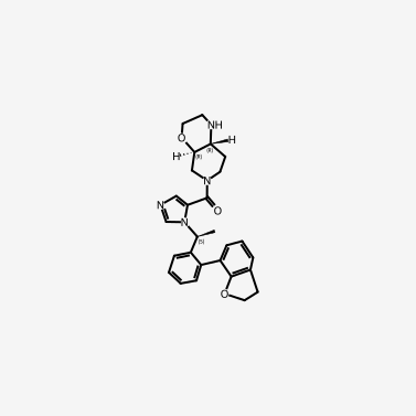 C[C@@H](c1ccccc1-c1cccc2c1OCC2)n1cncc1C(=O)N1CC[C@H]2NCCO[C@@H]2C1